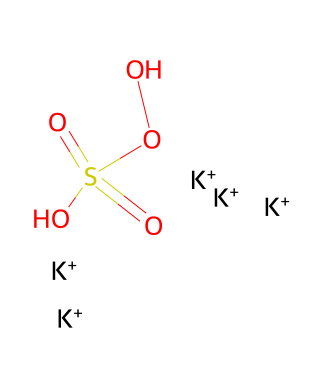 O=S(=O)(O)OO.[K+].[K+].[K+].[K+].[K+]